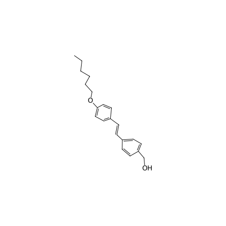 CCCCCCOc1ccc(/C=C/c2ccc(CO)cc2)cc1